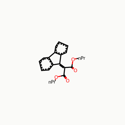 CCCOC(=O)C(C(=O)OCCC)=C1c2ccccc2-c2ccccc21